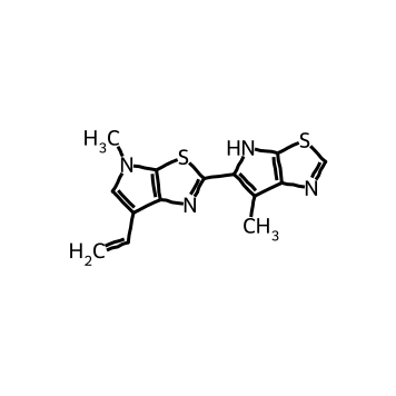 C=Cc1cn(C)c2sc(-c3[nH]c4scnc4c3C)nc12